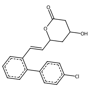 O=C1CC(O)CC(C=Cc2ccccc2-c2ccc(Cl)cc2)O1